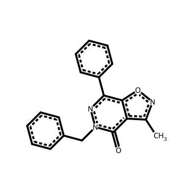 Cc1noc2c(-c3ccccc3)nn(Cc3ccccc3)c(=O)c12